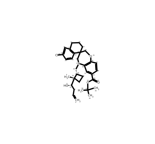 C=CC[C@H](O)[C@@]1(C)CC[C@H]1CN1CC2(CCCc3cc(Cl)ccc32)COc2ccc(C(=O)OC(C)(C)C)cc21